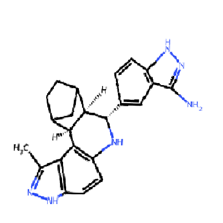 Cc1n[nH]c2ccc3c(c12)[C@H]1C2CCC(C2)[C@H]1[C@H](c1ccc2[nH]nc(N)c2c1)N3